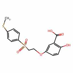 CSc1ccc(S(=O)(=O)CCOc2ccc(O)c(C(=O)O)c2)cc1